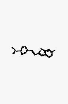 CN(C)c1ccc(C=Cc2cc3ccc(F)cc3o2)cc1